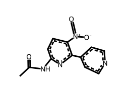 CC(=O)Nc1ccc([N+](=O)[O-])c(-c2ccncc2)n1